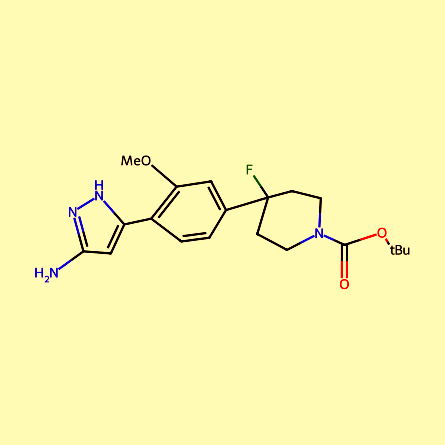 COc1cc(C2(F)CCN(C(=O)OC(C)(C)C)CC2)ccc1-c1cc(N)n[nH]1